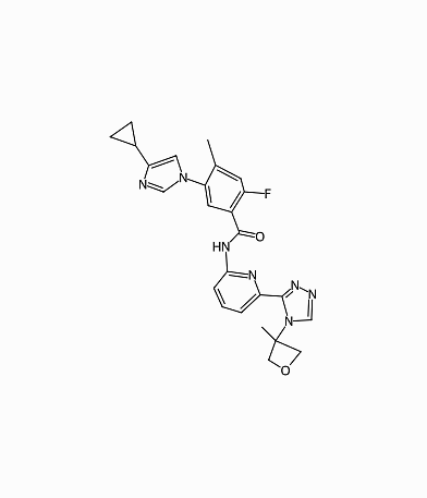 Cc1cc(F)c(C(=O)Nc2cccc(-c3nncn3C3(C)COC3)n2)cc1-n1cnc(C2CC2)c1